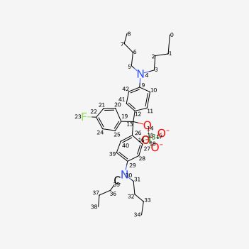 CCCCN(CCCC)c1ccc(C(O[Cl+3]([O-])([O-])[O-])(c2ccc(F)cc2)c2ccc(N(CCCC)CCCC)cc2)cc1